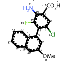 COc1cc(-c2c(Cl)cc(C(=O)O)c(N)c2F)c2ccccc2c1